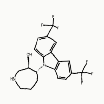 O[C@@H]1CNCCC[C@H]1n1c2ccc(C(F)(F)F)cc2c2cc(C(F)(F)F)ccc21